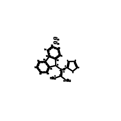 CCCC[C](CCCC)=[Zr+2]([C]1=CC=CC1)[CH]1c2ccccc2-c2ccccc21.[Cl-].[Cl-]